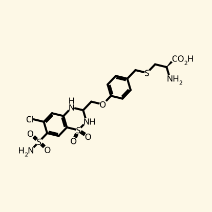 N[C@@H](CSCc1ccc(OCC2Nc3cc(Cl)c(S(N)(=O)=O)cc3S(=O)(=O)N2)cc1)C(=O)O